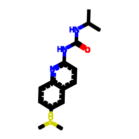 CC(C)NC(=O)Nc1ccc2cc([SH](C)C)ccc2n1